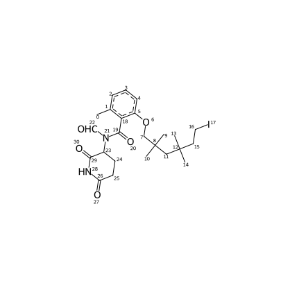 Cc1cccc(OCC(C)(C)CC(C)(C)CCI)c1C(=O)N(C=O)C1CCC(=O)NC1=O